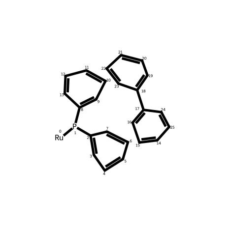 [Ru][P](c1ccccc1)c1ccccc1.c1ccc(-c2ccccc2)cc1